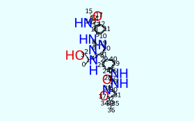 CC(CO)Nc1nc(Nc2cccc(S(C)(=N)=O)c2)ncc1-c1ccc(NC(=O)Nc2cc(C(C)(C)C)on2)cc1